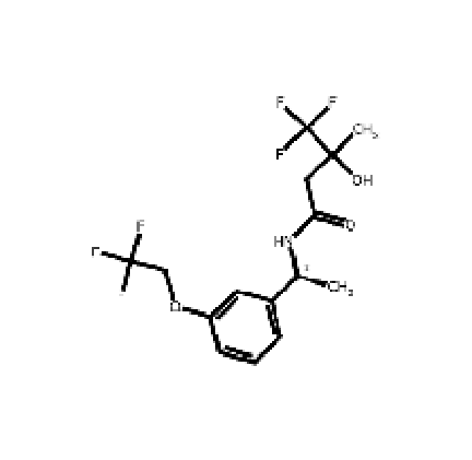 C[C@H](NC(=O)CC(C)(O)C(F)(F)F)c1cccc(OCC(F)(F)F)c1